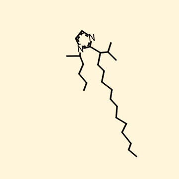 CCCCCCCCCCCCC(c1nccn1C(C)CCCC)C(C)C